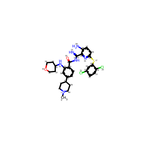 CN1CCC(c2ccc(C(=O)NC(=N)c3nc(Sc4cc(Cl)ccc4Cl)ccc3N)c(NC3CCOCC3)c2)CC1